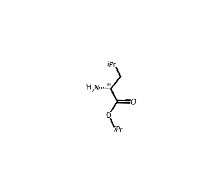 CC(C)C[C@@H](N)C(=O)OC(C)C